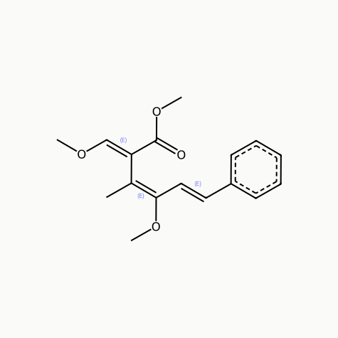 CO\C=C(C(=O)OC)/C(C)=C(\C=C\c1ccccc1)OC